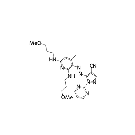 COCCCNc1cc(C)c(N=Nc2c(C#N)cnn2-c2ncccn2)c(NCCCOC)n1